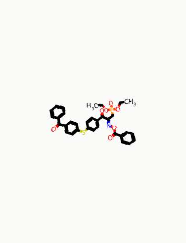 CCOP(=O)(C/C(=N\OC(=O)c1ccccc1)C(=O)c1ccc(Sc2ccc(C(=O)c3ccccc3)cc2)cc1)OCC